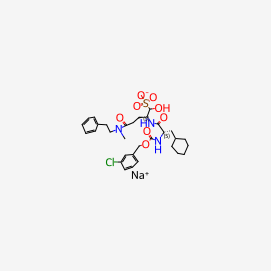 CN(CCc1ccccc1)C(=O)CC[C@H](NC(=O)[C@H](CC1CCCCC1)NC(=O)OCc1cccc(Cl)c1)C(O)S(=O)(=O)[O-].[Na+]